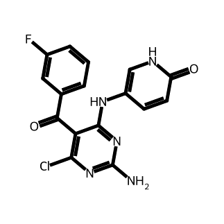 Nc1nc(Cl)c(C(=O)c2cccc(F)c2)c(Nc2ccc(=O)[nH]c2)n1